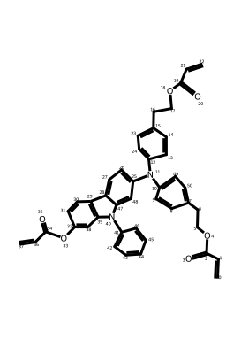 C=CC(=O)OCCc1ccc(N(c2ccc(CCOC(=O)C=C)cc2)c2ccc3c4ccc(OC(=O)C=C)cc4n(-c4ccccc4)c3c2)cc1